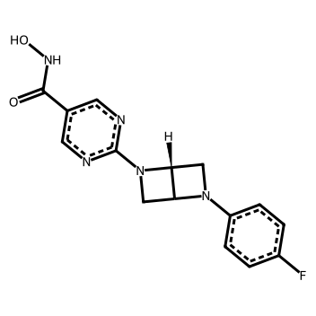 O=C(NO)c1cnc(N2CC3[C@H]2CN3c2ccc(F)cc2)nc1